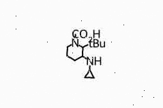 CC(C)(C)C1C(NC2CC2)CCCN1C(=O)O